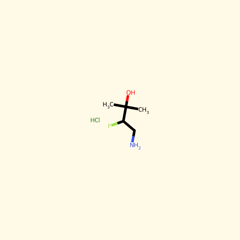 CC(C)(O)C(F)CN.Cl